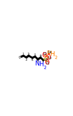 CCCCCCC(N)CCS(=O)(=O)OP